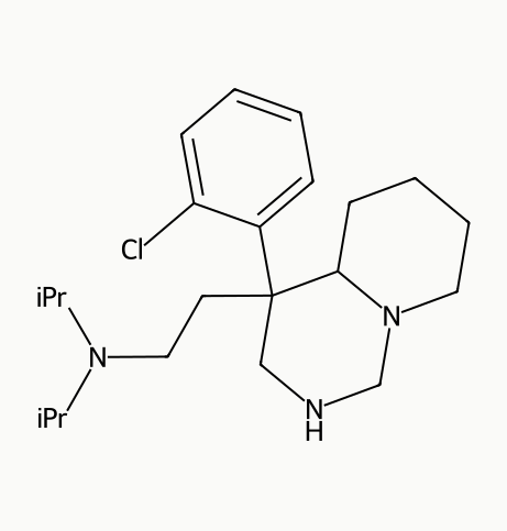 CC(C)N(CCC1(c2ccccc2Cl)CNCN2CCCCC21)C(C)C